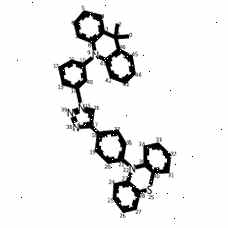 CC1(C)c2ccccc2N(c2cccc(-n3cc(-c4ccc(N5c6ccccc6Sc6ccccc65)cc4)nn3)c2)c2ccccc21